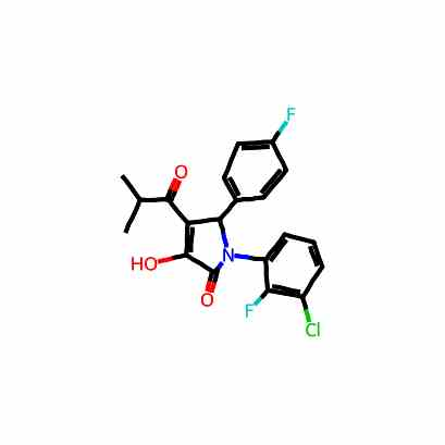 CC(C)C(=O)C1=C(O)C(=O)N(c2cccc(Cl)c2F)C1c1ccc(F)cc1